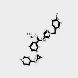 Cl.Cl.O=C(Nc1cnn(Cc2ccc(F)cc2)c1)c1cccc([C@@H]2C[C@H]2NC2CCOCC2)c1